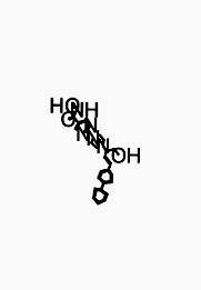 O=C(NO)c1cnc(N2CCN(C(/C=C/c3ccc(-c4ccccc4)cc3)CO)CC2)nc1